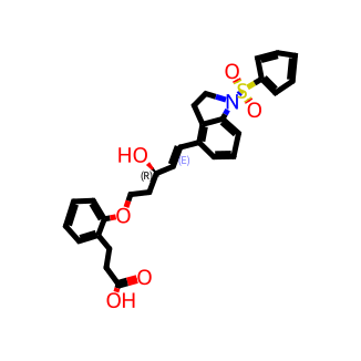 O=C(O)CCc1ccccc1OCC[C@@H](O)/C=C/c1cccc2c1CCN2S(=O)(=O)c1ccccc1